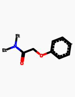 CCN(CC)C(=O)COc1cc[c]cc1